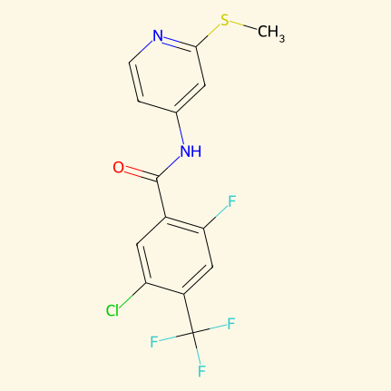 CSc1cc(NC(=O)c2cc(Cl)c(C(F)(F)F)cc2F)ccn1